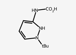 CC(C)(C)N1C=CC=C(NC(=O)O)N1